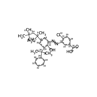 CC(C)(C)CC(C)(C)c1cc(N=Nc2cc(C(=O)O)ccc2Cl)c(O)c(C(C)(C)c2ccccc2)c1